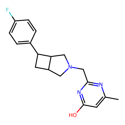 Cc1cc(O)nc(CN2CC3CC(c4ccc(F)cc4)C3C2)n1